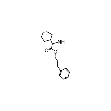 [NH]C(C(=O)OCCCc1ccccc1)C1CCCCC1